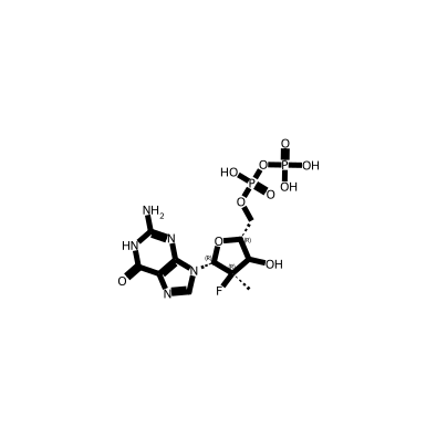 C[C@@]1(F)C(O)[C@@H](COP(=O)(O)OP(=O)(O)O)O[C@H]1n1cnc2c(=O)[nH]c(N)nc21